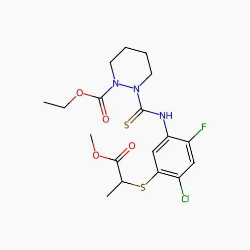 CCOC(=O)N1CCCCN1C(=S)Nc1cc(SC(C)C(=O)OC)c(Cl)cc1F